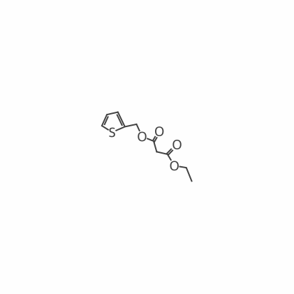 CCOC(=O)CC(=O)OCc1cccs1